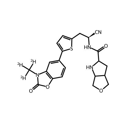 [2H]C([2H])([2H])n1c(=O)oc2ccc(-c3ccc(C[C@@H](C#N)NC(=O)C4CC5COCC5N4)s3)cc21